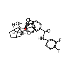 O=C(Nc1ccc(F)c(F)c1)c1ccc(Cl)c(S(=O)(=O)[C@@H]2CC3CC[C@@H](C2)[C@@]3(O)[C@@H](O)c2ccccn2)c1